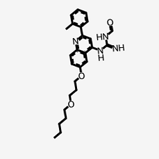 CCCCCOCCCOc1ccc2nc(-c3ccccc3C)cc(NC(=N)NC=O)c2c1